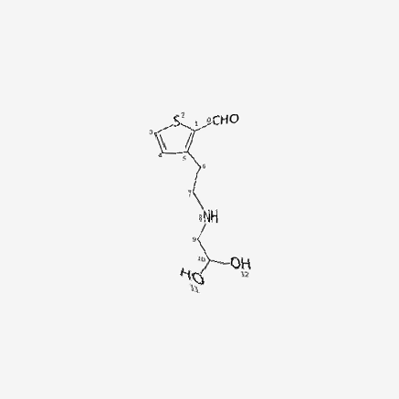 O=Cc1sccc1CCNCC(O)O